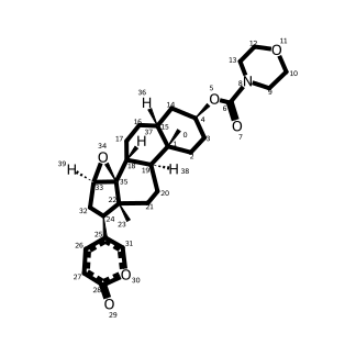 C[C@]12CC[C@H](OC(=O)N3CCOCC3)C[C@H]1CC[C@@H]1[C@@H]2CC[C@]2(C)[C@@H](c3ccc(=O)oc3)C[C@H]3O[C@]132